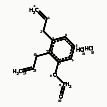 C=CCc1cccc(O[PH2]=O)c1CC=C.Cl.Cl